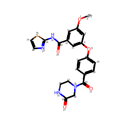 CC(C)Oc1cc(Oc2ccc(C(=O)N3CCNC(=O)C3)cc2)cc(C(=O)Nc2nccs2)c1